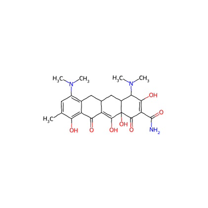 Cc1cc(N(C)C)c2c(c1O)C(=O)C1=C(O)C3(O)C(=O)C(C(N)=O)=C(O)C(N(C)C)C3CC1C2